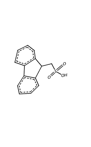 O=S(=O)(O)CC1c2ccccc2-c2ccccc21